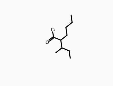 CCCCC(C(=O)Cl)C(C)CC